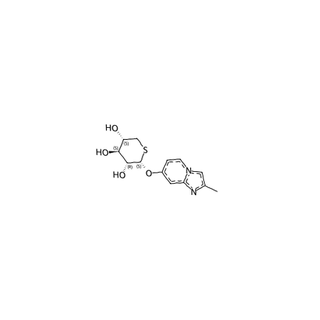 Cc1cn2ccc(O[C@H]3SC[C@@H](O)[C@H](O)[C@H]3O)cc2n1